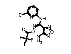 Nc1nonc1C(=NOC(=O)C(F)(F)F)Nc1cccc(Cl)n1